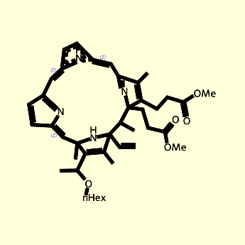 C=CC12NC(C)(/C=C3/C=CC(=N3)/C=c3/cc/c([nH]3)=C/C3=NC(CCC(=O)OC)(C(CCC(=O)OC)=C3C)C1C)C(C(C)OCCCCCC)=C2C